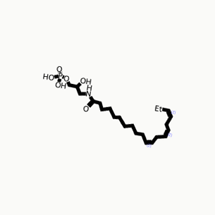 CC/C=C\C/C=C\C/C=C\CCCCCCCCCC(=O)NCC(O)COP(=O)(O)O